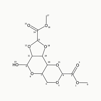 COC(=O)C1OCC2OC(O)C3OC(C(=O)OC)OC3C2O1